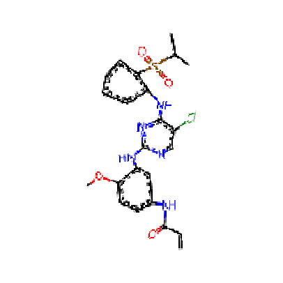 C=CC(=O)Nc1ccc(OC)c(Nc2ncc(Cl)c(Nc3ccccc3S(=O)(=O)C(C)C)n2)c1